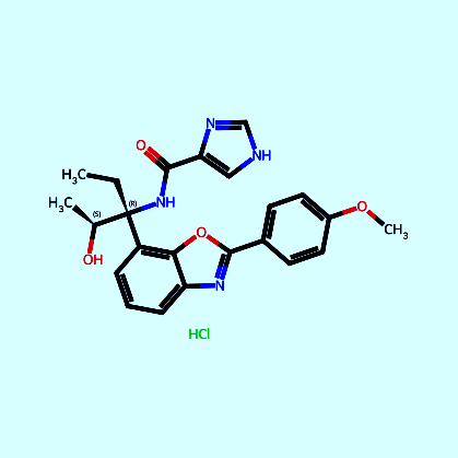 CC[C@@](NC(=O)c1c[nH]cn1)(c1cccc2nc(-c3ccc(OC)cc3)oc12)[C@H](C)O.Cl